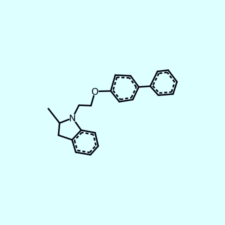 CC1Cc2ccccc2N1CCOc1ccc(-c2ccccc2)cc1